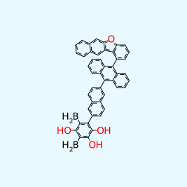 Bc1c(O)c(B)c(-c2ccc3cc(-c4c5ccccc5c(-c5cccc6oc7cc8ccccc8cc7c56)c5ccccc45)ccc3c2)c(O)c1O